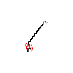 CC(C)CCCCCCCCCCCCCCC(=O)[O][Ti](=[O])[O]C(C)C